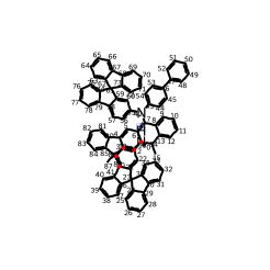 CC1C=C2C(=C/C1=C(/c1ccccc1C(C)Nc1ccc3c(c1)C1(c4ccccc4-c4ccccc41)c1ccccc1-3)N(c1ccc(-c3ccccc3)cc1)c1ccc3c(c1)C1(c4ccccc4-c4ccccc41)c1ccccc1-3)c1ccccc1C2(C)C